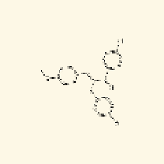 CSc1ccc(C=C(Sc2ccc(Br)cc2)C(=O)c2ccc(Cl)cc2)cc1